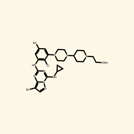 COCCN1CCC(N2CCN(c3cc(C#N)cc(Nc4nc(NC5CC5)n5ncc(C#N)c5n4)c3Cl)CC2)CC1